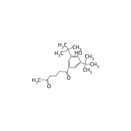 CC(=O)CCCC(=O)c1cc(C(C)(C)C)c(O)c(C(C)(C)C)c1